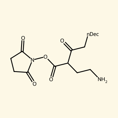 CCCCCCCCCCCC(=O)C(CCN)C(=O)ON1C(=O)CCC1=O